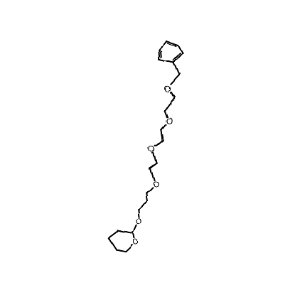 c1ccc(COCCOCCOCCOCCCOC2CCCCO2)cc1